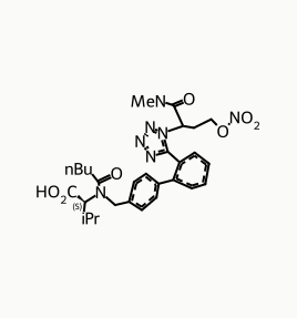 CCCCC(=O)N(Cc1ccc(-c2ccccc2-c2nnnn2C(CCO[N+](=O)[O-])C(=O)NC)cc1)[C@H](C(=O)O)C(C)C